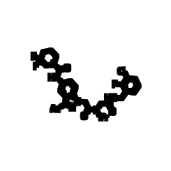 CC(=O)c1nn(CC(=O)N(CC(=O)NCc2cccc(Cl)c2F)C(C)C)c2ccc(NC(=O)N3CCCC(F)(F)C3)cc12